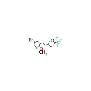 COc1ncc(Br)cc1C=CC1CCC(C(F)(F)F)OC1